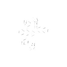 C1=CSC(c2cncc(-c3c4ccccc4c(-c4cncc(-c5nccs5)c4)c4ccc(-c5ccc6ccccc6c5)cc34)c2)N1